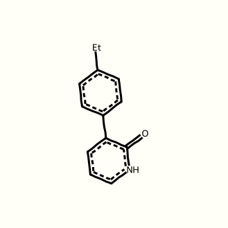 CCc1ccc(-c2ccc[nH]c2=O)cc1